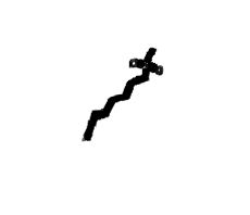 [CH2]CCCCCCS(C)(=O)=O